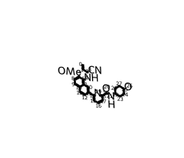 C=CC(C#N)Nc1c(OC)ccc2ccc(-c3cccc(C(=O)NC4CCC(=O)CC4)n3)cc12